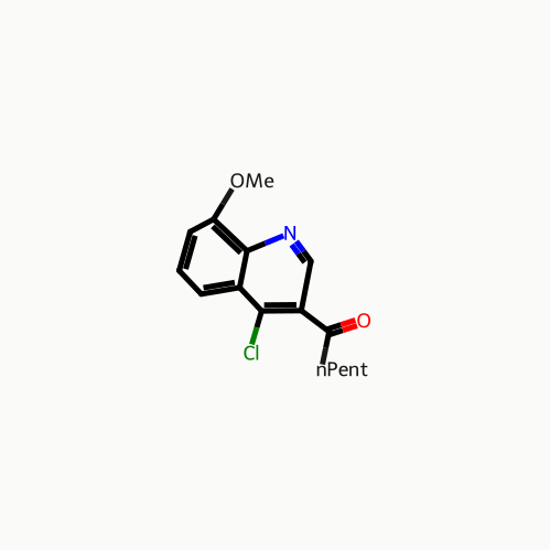 CCCCCC(=O)c1cnc2c(OC)cccc2c1Cl